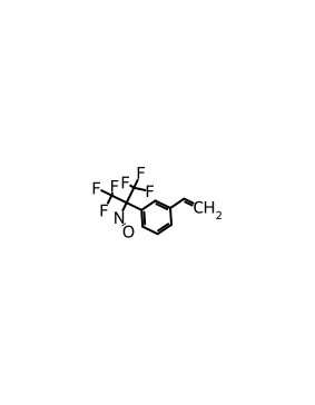 C=Cc1cccc(C(N=O)(C(F)(F)F)C(F)(F)F)c1